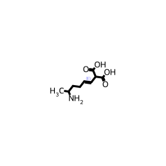 CC(N)CC/C=C/C(C(=O)O)C(=O)O